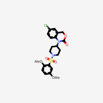 COc1ccc(OC)c(S(=O)(=O)N2CCC(N3C(=O)OCc4cc(Cl)ccc43)CC2)c1